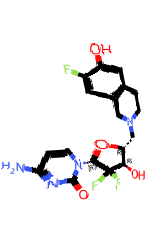 Nc1ccn([C@@H]2O[C@H](CN3CCc4cc(O)c(F)cc4C3)[C@@H](O)C2(F)F)c(=O)n1